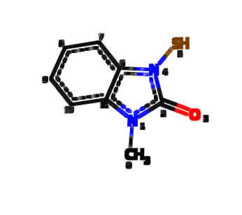 Cn1c(=O)n(S)c2ccccc21